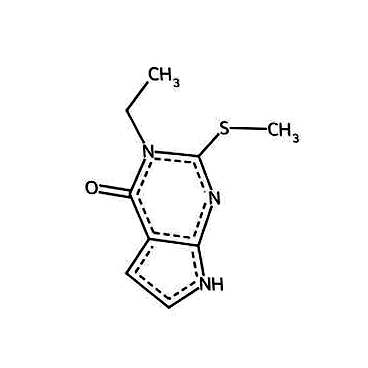 CCn1c(SC)nc2[nH]ccc2c1=O